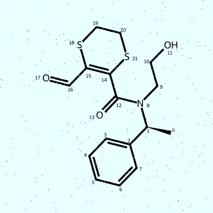 C[C@@H](c1ccccc1)N(CCO)C(=O)C1=C(C=O)SCCS1